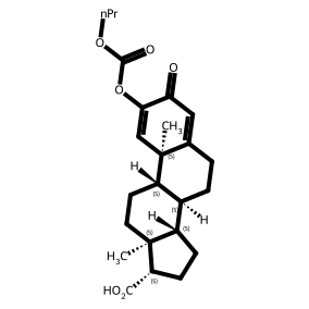 CCCOC(=O)OC1=C[C@@]2(C)C(=CC1=O)CC[C@H]1[C@@H]3CC[C@H](C(=O)O)[C@@]3(C)CC[C@@H]12